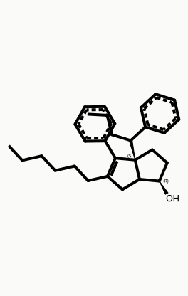 CCCCCCC1=C(c2ccccc2)[C@]2(C(CCC)c3ccccc3)CC[C@@H](O)C2C1